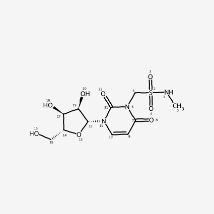 CNS(=O)(=O)Cn1c(=O)ccn([C@@H]2O[C@H](CO)[C@@H](O)[C@H]2O)c1=O